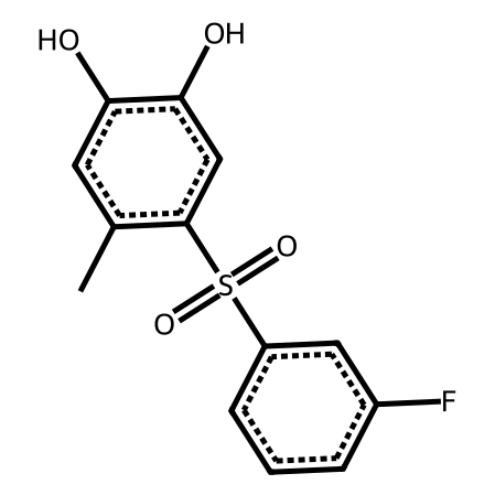 Cc1cc(O)c(O)cc1S(=O)(=O)c1cccc(F)c1